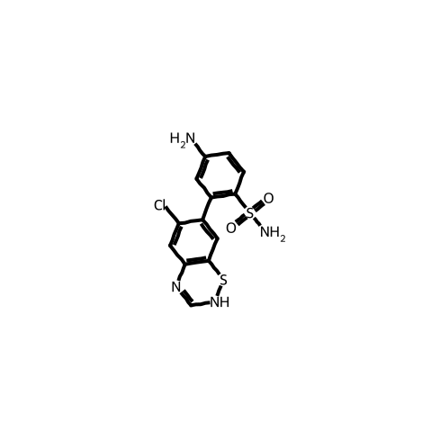 Nc1ccc(S(N)(=O)=O)c(-c2cc3c(cc2Cl)N=CNS3)c1